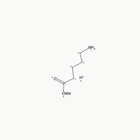 COC(=O)CCCCN.[H+]